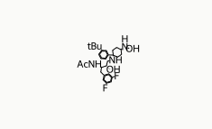 CC(=O)N[C@@H](Cc1cc(F)cc(F)c1)[C@@H](O)CNC1(c2cccc(C(C)(C)C)c2)CCC(NO)CC1